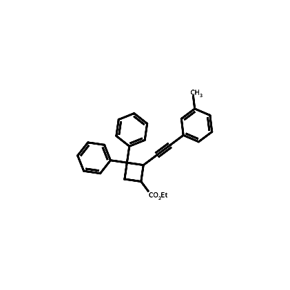 CCOC(=O)C1CC(c2ccccc2)(c2ccccc2)C1C#Cc1cccc(C)c1